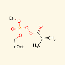 C=C(C)C(=O)OOP(=O)(OCC)OCCCCCCCCC